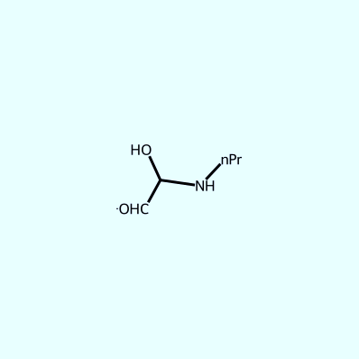 CCCNC(O)[C]=O